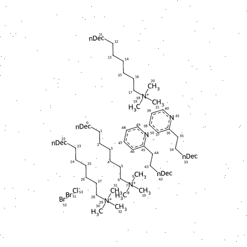 CCCCCCCCCCCCCCCC[N+](C)(C)C.CCCCCCCCCCCCCCCC[N+](C)(C)C.CCCCCCCCCCCCCCCC[N+](C)(C)C.CCCCCCCCCCCCc1ccccn1.CCCCCCCCCCCCc1ccccn1.[Br-].[Br-].[Cl-]